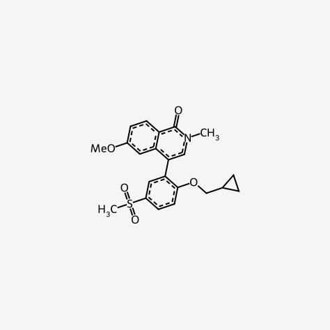 COc1ccc2c(=O)n(C)cc(-c3cc(S(C)(=O)=O)ccc3OCC3CC3)c2c1